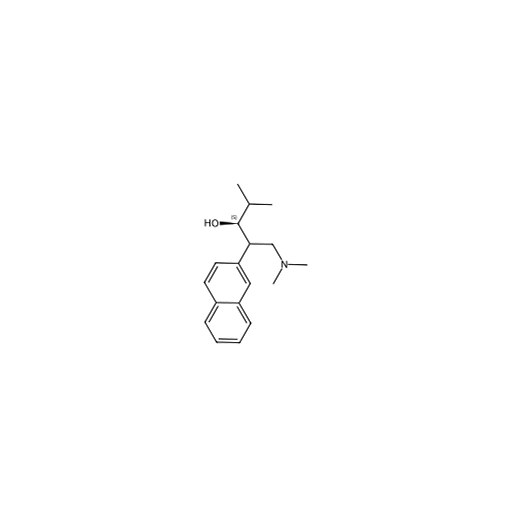 CC(C)[C@H](O)C(CN(C)C)c1ccc2ccccc2c1